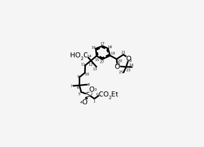 CCOC(=O)CS(=O)(=O)CC(C)(C)CCCC(C)(C(=O)O)c1cccc(C2COC(C)(C)O2)c1